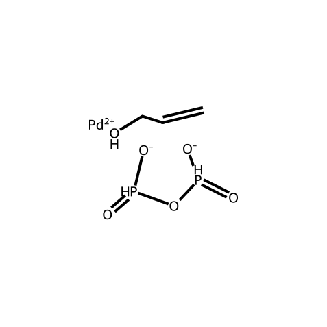 C=CCO.O=[PH]([O-])O[PH](=O)[O-].[Pd+2]